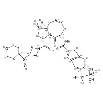 O=C(N[C@H]1C/C=C\C[C@@H]2[C@H](O)C[C@@H](C(=O)N3CC(C(=O)N4CCOCC4)C3)N2C1=O)c1cc2cc(C(F)(F)P(=O)(O)O)ccc2s1